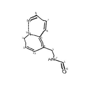 O=CNCC1=C2C=CC=CN2CC=C1